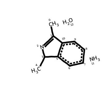 CC1=NC(C)c2ccccc21.N.O